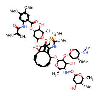 C=C(OC)C(=O)Nc1cc(OC)c(OC)cc1C(=O)O[C@H]1CC(O[C@@H]2C(=O)C(NC(=O)OC)=C3/C(=C\CSSSC)[C@]2(O)C#C/C=C\C#C[C@@H]3O[C@H]2O[C@@H](C)[C@@H](NO[C@H]3C[C@H](O)[C@H](SC)[C@@H](C)O3)[C@H](O)[C@@H]2O[C@H]2C[C@H](OC)[C@@H](NC(C)C)CO2)O[C@@H](C)[C@@H]1O